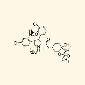 CC(C)(C)C[C@H]1N[C@@H](C(=O)N[C@H]2CC[C@@](C)(NS(C)(=O)=O)CC2)[C@H](c2cccc(Cl)c2F)[C@@]12C(=O)Nc1cc(Cl)ccc12